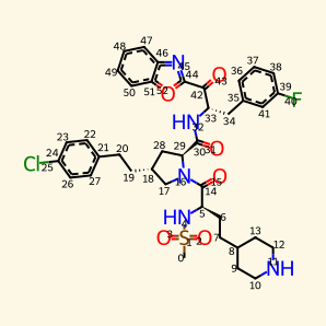 CS(=O)(=O)N[C@H](CCC1CCNCC1)C(=O)N1C[C@H](CCc2ccc(Cl)cc2)C[C@H]1C(=O)N[C@@H](Cc1cccc(F)c1)C(=O)c1nc2ccccc2o1